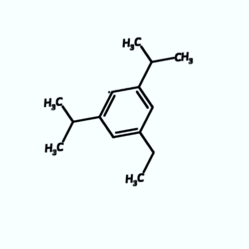 CCc1cc(C(C)C)[c]c(C(C)C)c1